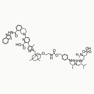 Cc1c(-c2ccc(N3CCc4cccc(C(=O)Nc5nc6ccccc6s5)c4C3)nc2C(=O)O)cnn1CC12CC3(C)CC(C)(C1)CC(OCCNC(=O)OCc1ccc(NC[C@H](C)NC[C@@H](NC[C@@H](N)CS(=O)(=O)O)C(C)C)cc1)(C3)C2